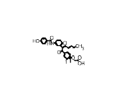 CCCCc1oc2ccc(NC(=O)c3ccc(O)cc3)cc2c1C(=O)C1=CC(I)C(I)(OCC(=O)O)C=C1